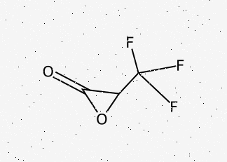 O=C1OC1C(F)(F)F